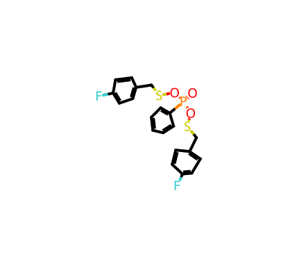 O=P(OSCc1ccc(F)cc1)(OSCc1ccc(F)cc1)c1ccccc1